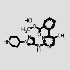 COC(=O)c1ccccc1-c1nc(Nc2cnn(C3CCNCC3)c2)ncc1C.Cl